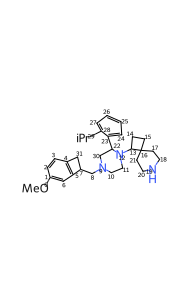 COc1ccc2c(c1)C(CN1CCN(C3CCC34CCNCC4)C(c3ccccc3C(C)C)C1)C2